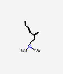 C=CC=CC(=C)CCN(C(C)(C)C)C(C)(C)C